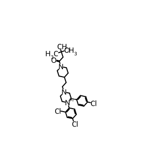 CC(C)(C)CC(=O)N1CCC(CCN2CCN(c3ccc(Cl)cc3Cl)[C@H](c3ccc(Cl)cc3)C2)CC1